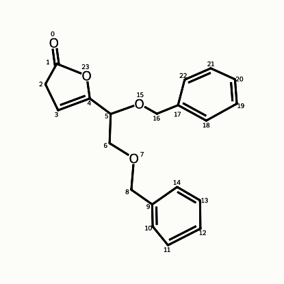 O=C1CC=C(C(COCc2ccccc2)OCc2ccccc2)O1